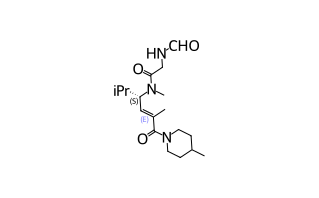 C/C(=C\[C@H](C(C)C)N(C)C(=O)CNC=O)C(=O)N1CCC(C)CC1